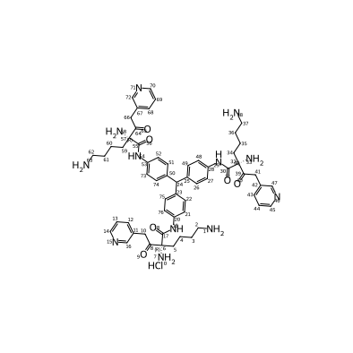 Cl.NCCCC[C@@](N)(C(=O)Cc1cccnc1)C(=O)Nc1ccc(C(c2ccc(NC(=O)[C@@](N)(CCCCN)C(=O)Cc3cccnc3)cc2)c2ccc(NC(=O)[C@@](N)(CCCCN)C(=O)Cc3cccnc3)cc2)cc1